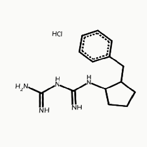 Cl.N=C(N)NC(=N)NC1CCCC1Cc1ccccc1